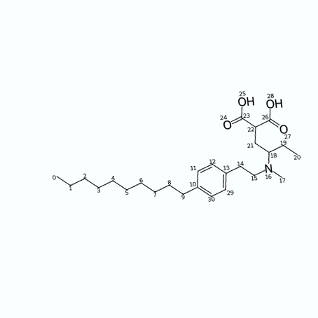 CCCCCCCCCCc1ccc(CCN(C)C(CC)CC(C(=O)O)C(=O)O)cc1